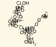 CC[C@H](C)C(C(CC(=O)N1CCC[C@H]1[C@H](OC)[C@@H](C)C(=O)N[C@H](C)C(O)c1ccccc1)OC)N(C)C(=O)[C@@H](NC(=O)[C@H](C(C)C)N(C)C(=O)OCc1ccc(NC(=O)[C@H](CCCNC(N)=O)NC(=O)[C@@H](NC(=O)NCCOCCOCCn2cc(C(C)C)nn2)C(C)C)cc1)C(C)C